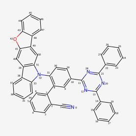 N#Cc1ccccc1-c1cc(-c2nc(-c3ccccc3)nc(-c3ccccc3)n2)ccc1-n1c2ccccc2c2cc3oc4ccccc4c3cc21